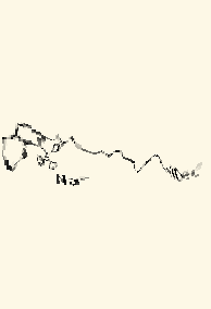 CCCCCCCCCCCCCCCCCCCCCCc1ccc2ccccc2c1S(=O)(=O)[O-].[Na+]